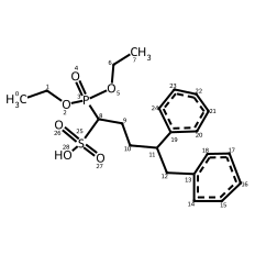 CCOP(=O)(OCC)C(CCC(Cc1ccccc1)c1ccccc1)S(=O)(=O)O